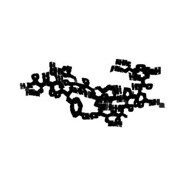 CC(=O)N[C@@H](C[SeH])C(=O)N[C@@H](C[SeH])C(=O)N[C@@H](CC(N)=O)C(=O)N1CCC[C@H]1C(=O)N[C@@H](C)C(=O)N[C@@H](C[SeH])C(=O)NCC(=O)N[C@@H](CCCNC(=N)N)C(=O)N[C@@H](Cc1c[nH]cn1)C(=O)N[C@@H](Cc1ccc(O)cc1)C(=O)N[C@@H](CO)C(=O)N[C@@H](C[SeH])C(N)=O